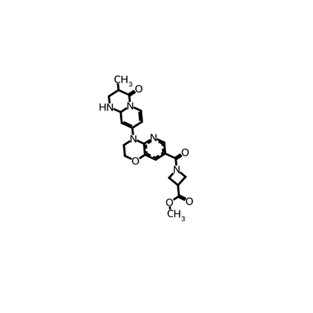 COC(=O)C1CN(C(=O)c2cnc3c(c2)OCCN3C2=CC3NCC(C)C(=O)N3C=C2)C1